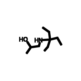 CCC(CC)(CC)NCC(C)O